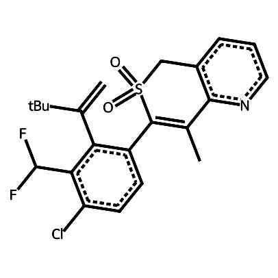 C=C(c1c(C2=C(C)c3ncccc3CS2(=O)=O)ccc(Cl)c1C(F)F)C(C)(C)C